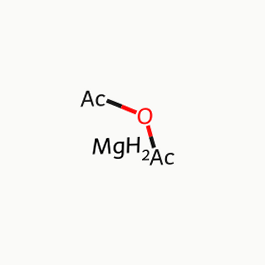 CC(=O)OC(C)=O.[MgH2]